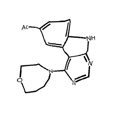 CC(=O)c1ccc2[nH]c3ncnc(N4CCOCC4)c3c2c1